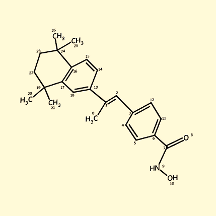 CC(=Cc1ccc(C(=O)NO)cc1)c1ccc2c(c1)C(C)(C)CCC2(C)C